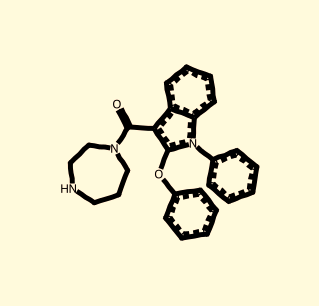 O=C(c1c(Oc2ccccc2)n(-c2ccccc2)c2ccccc12)N1CCCNCC1